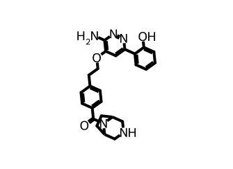 Nc1nnc(-c2ccccc2O)cc1OCCc1ccc(C(=O)N2C3CCC2CNC3)cc1